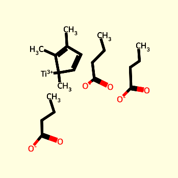 CC1=C(C)[C](C)([Ti+3])C=C1.CCCC(=O)[O-].CCCC(=O)[O-].CCCC(=O)[O-]